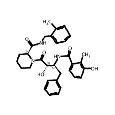 Cc1ccccc1CNC(=O)[C@@H]1CCCCN1C(=O)[C@@H](O)[C@H](Cc1ccccc1)NC(=O)c1cccc(O)c1C